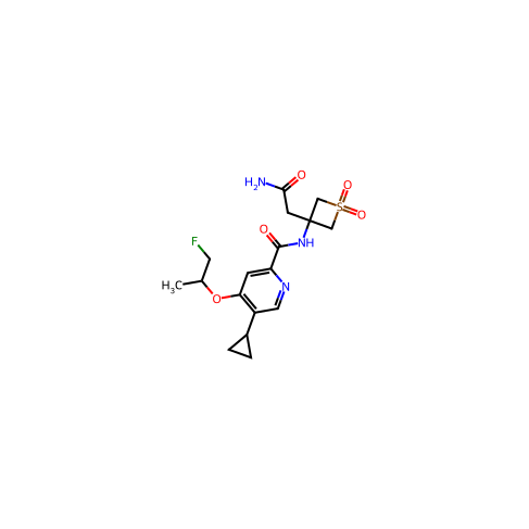 CC(CF)Oc1cc(C(=O)NC2(CC(N)=O)CS(=O)(=O)C2)ncc1C1CC1